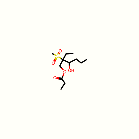 CCCC(O)C(CC)(COC(=O)CC)S(C)(=O)=O